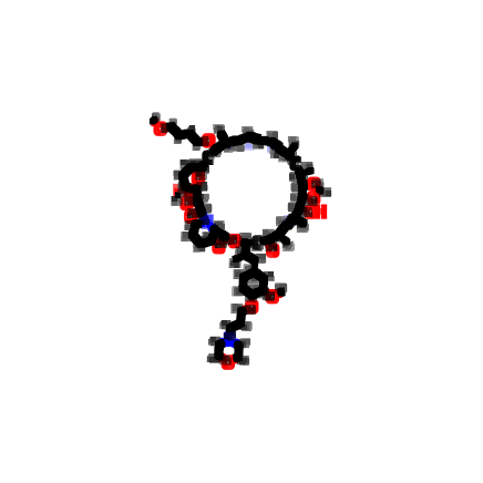 COCCCCOC1C[C@@H]2CC[C@@H](C)[C@@](O)(O2)C(=O)C(=O)N2CCCCC2C(=O)O[C@H]([C@H](C)C[C@@H]2CC[C@@H](OCCCN3CCOCC3)[C@H](OC)C2)CC(=O)[C@H](C)/C=C(\C)[C@@H](O)[C@@H](OC)C(=O)[C@H](C)C[C@H](C)/C=C/C=C/C=C/1C